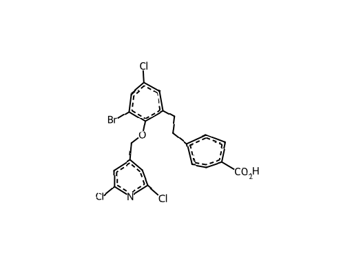 O=C(O)c1ccc(CCc2cc(Cl)cc(Br)c2OCc2cc(Cl)nc(Cl)c2)cc1